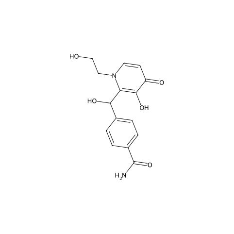 NC(=O)c1ccc(C(O)c2c(O)c(=O)ccn2CCO)cc1